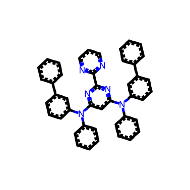 c1ccc(-c2cccc(N(c3ccccc3)c3cc(N(c4ccccc4)c4cccc(-c5ccccc5)c4)nc(-c4ncccn4)n3)c2)cc1